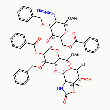 CCC1O[C@@H](O[C@H]2C(C(=O)OC)O[C@@H](O[C@@H]3C(COC(=O)c4ccccc4)O[C@H](OC)C(N=[N+]=[N-])[C@H]3OCc3ccccc3)C(OC(=O)c3ccccc3)[C@@H]2OCc2ccccc2)C2NC(=O)O[C@H]2[C@@H]1O